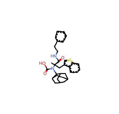 CC(Cc1csc2ccccc12)(C(=O)NCCc1ccccc1)N(C(=O)O)C1C2CC3CC(C2)CC1C3